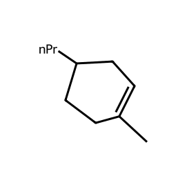 CCCC1CC=C(C)CC1